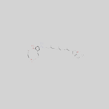 COC1=C(OC)[C@H](O)C(C/C=C(\C)CC/C=C(\C)CC/C=C(\C)CCCNc2cc(O)c3c(c2)/C=C/C[C@H](O)C(O)C(=O)/C=C\[C@@H](C)C(C)OC3=O)CC1=O